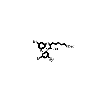 CCCCCCCCCCCCCCCC(=Nc1cc(CC)cc(CC)c1)C(CCCC)=Nc1cc(CC)cc(CC)c1.[Ni]